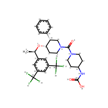 C[C@@H](O[C@H]1CCN(C(=O)N2CCC(NC(=O)O)CC2)C[C@H]1c1ccccc1)c1cc(C(F)(F)F)cc(C(F)(F)F)c1